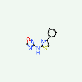 c1ccc(-c2csc(Nc3ncon3)n2)cc1